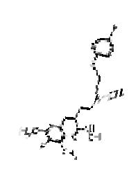 Cc1cc(CC(CCN(C)CCCc2ccc(F)cc2)C(=O)NO)cc(C)c1F